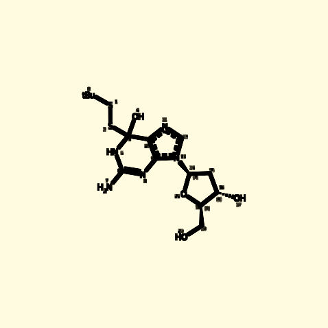 CC(C)(C)SSC1(O)NC(N)=Nc2c1ncn2[C@H]1C[C@H](O)[C@@H](CO)O1